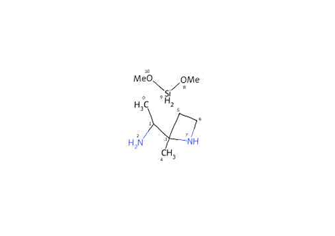 CC(N)C1(C)CCN1.CO[SiH2]OC